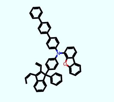 C=CC1=C(/C=C\C)c2ccccc2C1(c1ccccc1)c1ccc(N(c2ccc(-c3ccc(-c4ccccc4)cc3)cc2)c2cccc3c2oc2ccccc23)cc1